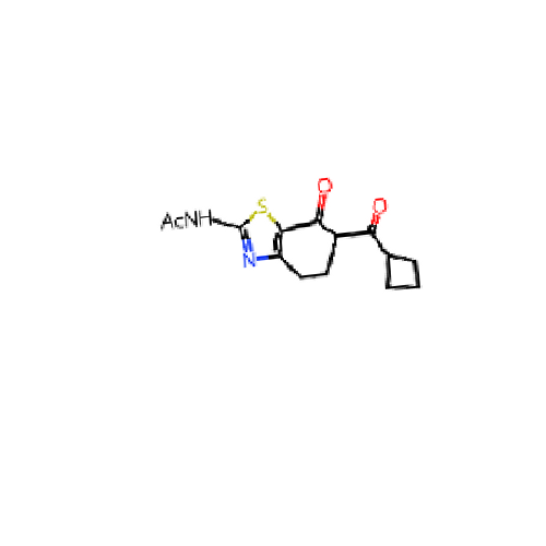 CC(=O)Nc1nc2c(s1)C(=O)C(C(=O)C1CCC1)CC2